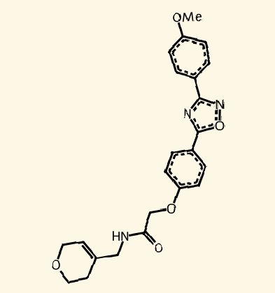 COc1ccc(-c2noc(-c3ccc(OCC(=O)NCC4=CCOCC4)cc3)n2)cc1